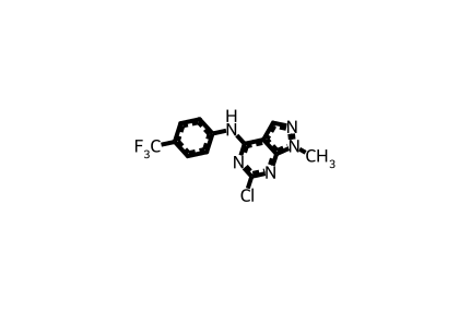 Cn1ncc2c(Nc3ccc(C(F)(F)F)cc3)nc(Cl)nc21